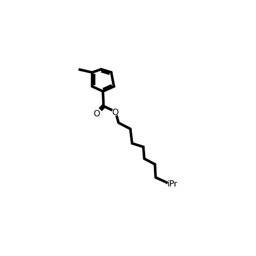 Cc1cccc(C(=O)OCCCCCCCC(C)C)c1